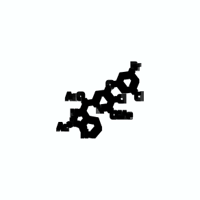 COc1nc(C(OC(C)=O)c2nn(C(C)=O)c3ncccc23)cc(Oc2cc(Cl)cc(Br)c2)c1Cl